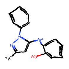 Cc1cc(Nc2ccccc2O)n(-c2ccccc2)n1